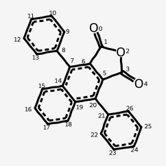 O=C1OC(=O)c2c1c(-c1ccccc1)c1ccccc1c2-c1ccccc1